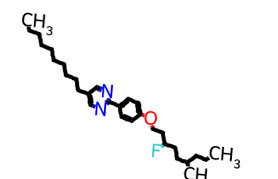 CCCCCCCCCCc1cnc(-c2ccc(OCCC(F)CCC(C)CCC)cc2)nc1